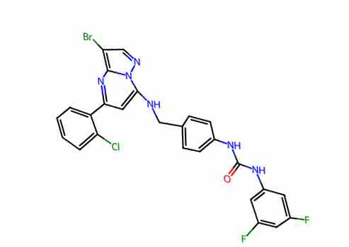 O=C(Nc1ccc(CNc2cc(-c3ccccc3Cl)nc3c(Br)cnn23)cc1)Nc1cc(F)cc(F)c1